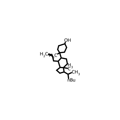 C=CCC1C(C2(C)CCC(O)CC2)CCC2(C)C(C(C)CCCC)CCC12